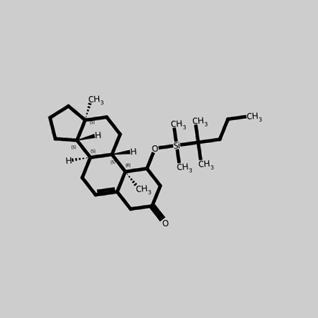 CCCC(C)(C)[Si](C)(C)OC1CC(=O)CC2=CC[C@H]3[C@@H]4CCC[C@@]4(C)CC[C@@H]3[C@]21C